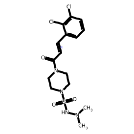 CN(C)NS(=O)(=O)N1CCN(C(=O)/C=C/c2cc[c]c(Cl)c2Cl)CC1